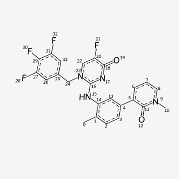 Cc1ccc(-c2cccn(C)c2=O)cc1Nc1nc(=O)c(F)cn1Cc1cc(F)c(F)c(F)c1